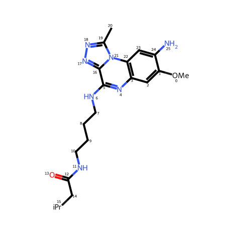 COc1cc2nc(NCCCCNC(=O)CC(C)C)c3nnc(C)n3c2cc1N